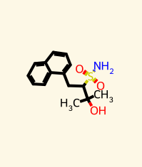 CC(C)(O)C(Cc1cccc2ccccc12)S(N)(=O)=O